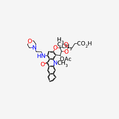 CC(=O)OC1c2c(cc(NCCN3CCOCC3)c3c(=O)c4cc5ccccc5cc4n(C)c23)OC(C)(C)C1OC(=O)CCC(=O)O